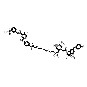 C[C@@H]1CN(CC(=O)N2CC(C)(C)c3ncc(Cc4ccc(F)cc4)cc32)[C@@H](CN(C)CCOCCOCCOCC(=O)Nc2ccc(Nc3ncc(C(F)(F)F)c(NCc4cccc(S(C)(=O)=O)c4)n3)cc2)CN1